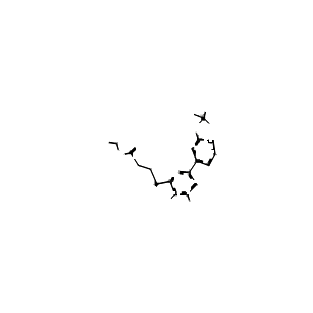 CCOC(=O)CCC(=O)c1nc(-c2cccc(OC(F)(F)F)c2)cc(Br)c1O